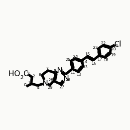 CC(CC(=O)O)CN1CCc2nc(-c3ccc(C=Cc4ccc(Cl)cc4)cc3)ncc2C1